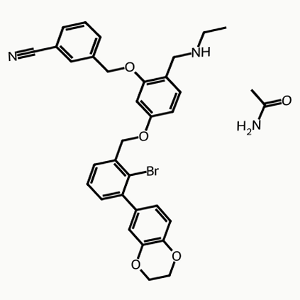 CC(N)=O.CCNCc1ccc(OCc2cccc(-c3ccc4c(c3)OCCO4)c2Br)cc1OCc1cccc(C#N)c1